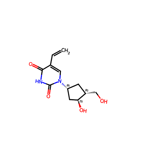 C=Cc1cn([C@@H]2C[C@H](CO)[C@@H](O)C2)c(=O)[nH]c1=O